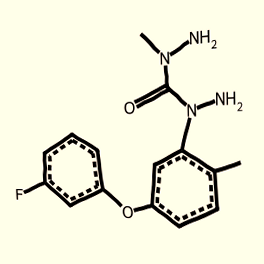 Cc1ccc(Oc2cccc(F)c2)cc1N(N)C(=O)N(C)N